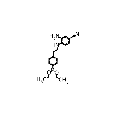 CCOP(OCC)c1ccc(CCNc2ccc(C#N)cc2N)cc1